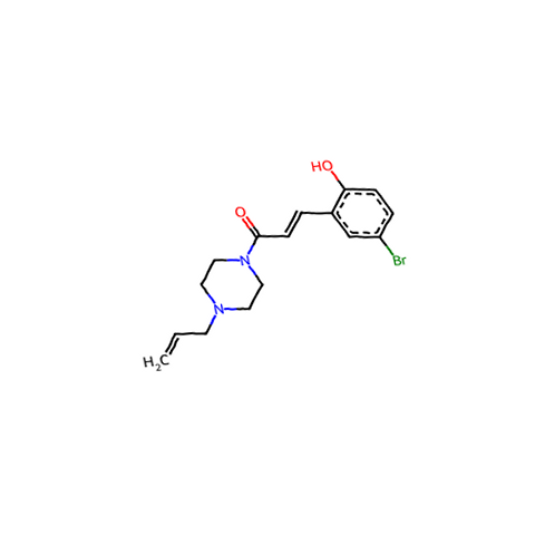 C=CCN1CCN(C(=O)/C=C/c2cc(Br)ccc2O)CC1